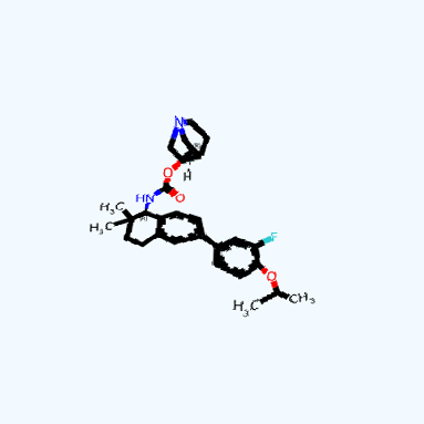 CC(C)Oc1ccc(-c2ccc3c(c2)CCC(C)(C)[C@H]3NC(=O)O[C@H]2CN3CCC2CC3)cc1F